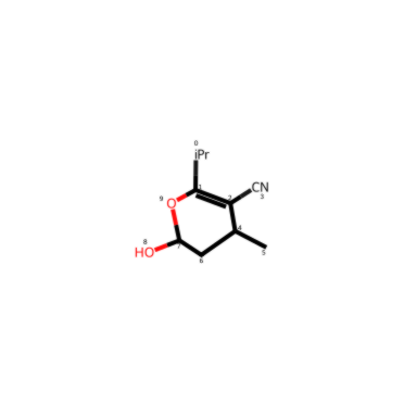 CC(C)C1=C(C#N)C(C)CC(O)O1